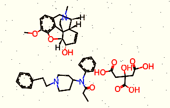 CCC(=O)N(c1ccccc1)C1CCN(CCc2ccccc2)CC1.COc1ccc2c3c1O[C@H]1[C@@H](O)C=C[C@H]4[C@@H](C2)N(C)CC[C@@]341.O=C(O)CC(O)(CC(=O)O)C(=O)O